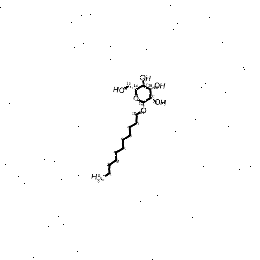 CCCCCCCCCCCO[C@@H]1O[C@H](CO)[C@@H](O)[C@H](O)[C@@H]1O